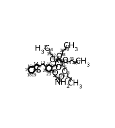 CCCCOC[C@H]1O[C@@H](c2cc(Cc3cc4ccccc4s3)ccc2OCC(N)=O)[C@H](OCCCC)[C@@H](OCCCC)[C@@H]1OCCCC